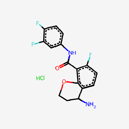 Cl.NC1CCOc2c1ccc(F)c2C(=O)Nc1ccc(F)c(F)c1